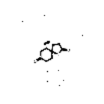 C=C.O=C1CCC2(CC1)CCC(=O)N2